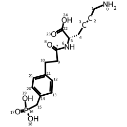 NCCCC[C@H](NC(=O)CCc1ccc(CP(=O)(O)O)cc1)C(=O)O